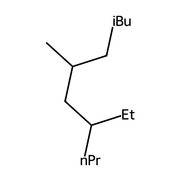 CCCC(CC)CC(C)CC(C)CC